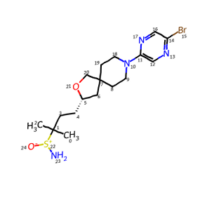 CC(C)(CC[C@H]1CC2(CCN(c3cnc(Br)cn3)CC2)CO1)[S+](N)[O-]